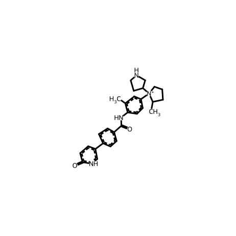 Cc1cc([N+]2(C3CCNC3)CCCC2C)ccc1NC(=O)c1ccc(-c2ccc(=O)[nH]c2)cc1